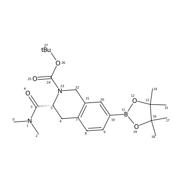 CN(C)C(=O)[C@H]1Cc2ccc(B3OC(C)(C)C(C)(C)O3)cc2CN1C(=O)OC(C)(C)C